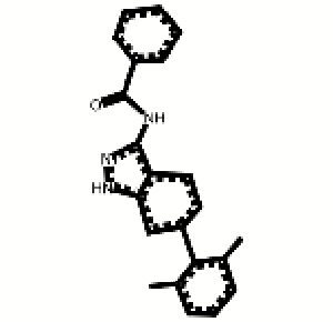 Cc1cccc(C)c1-c1ccc2c(NC(=O)c3ccccc3)n[nH]c2c1